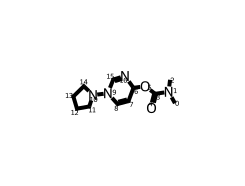 CN(C)C(=O)OC1C=CN(N2CCCC2)C=N1